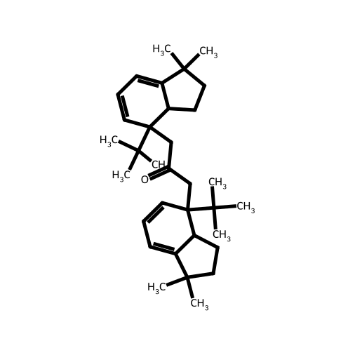 CC1(C)CCC2C1=CC=CC2(CC(=O)CC1(C(C)(C)C)C=CC=C2C1CCC2(C)C)C(C)(C)C